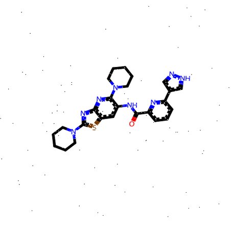 O=C(Nc1cc2sc(N3CCCCC3)nc2nc1N1CCCCC1)c1cccc(-c2cn[nH]c2)n1